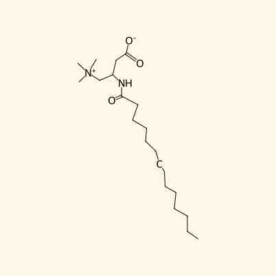 CCCCCCCCCCCCCC(=O)NC(CC(=O)[O-])C[N+](C)(C)C